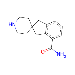 NC(=O)c1cccc2c1CC1(CCNCC1)C2